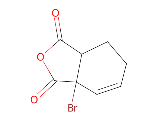 O=C1OC(=O)C2(Br)C=CCCC12